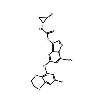 CNc1cc(Nc2cc(F)cc3c2OCCO3)nc2c(NC(=O)N[C@@H]3C[C@H]3F)cnn12